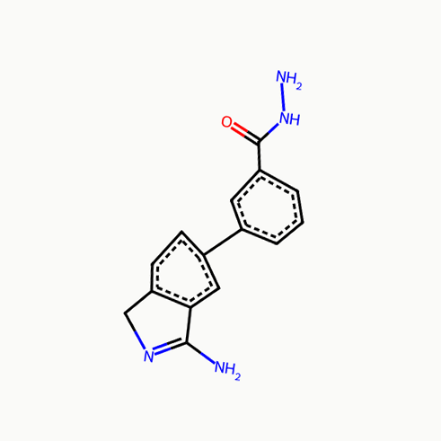 NNC(=O)c1cccc(-c2ccc3c(c2)C(N)=NC3)c1